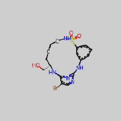 O=S1(=O)NCCCC[C@@H](CO)Nc2nc(ncc2Br)Nc2cccc1c2